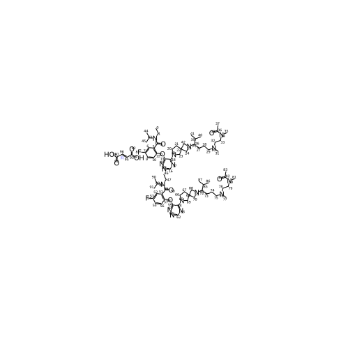 CCN(C(=O)c1cc(F)ccc1Oc1nncnc1N1CCC2(C1)CN([C@H](CCCN(C)CCN(C)C(C)=O)C(C)C)C2)C(C)C.CCN(C(=O)c1cc(F)ccc1Oc1nncnc1N1CCC2(C1)CN([C@H](CCCN(C)CCN(C)C(C)=O)C(C)C)C2)C(C)C.O=C(O)/C=C/C(=O)O